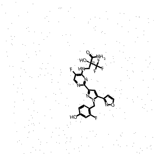 NC(=O)[C@@](O)(CNc1nc(-c2cc(-c3ccon3)n(Cc3ccc(O)cc3F)n2)ncc1F)C(F)(F)F